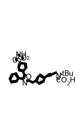 CC(C)(C)N(CC#Cc1ccc(Cc2nc(-c3ccccc3)c(-c3ccc(S(N)(=O)=O)cc3)o2)cc1)C(=O)O